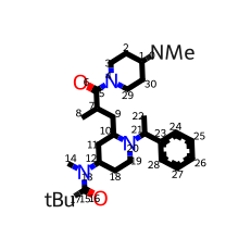 CNC1CCN(C(=O)C(C)CC2CC(N(C)C(=O)C(C)(C)C)CCN2C(C)c2ccccc2)CC1